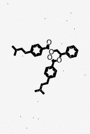 CC(C)CCc1ccc(C(=O)OCC(OC(=O)c2ccc(CCC(C)C)cc2)c2ccccc2)cc1